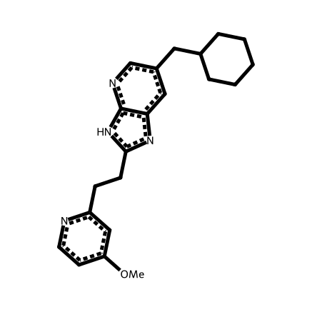 COc1ccnc(CCc2nc3cc(CC4CCCCC4)cnc3[nH]2)c1